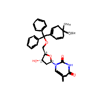 COC1(OC)C=CC(C(OC[C@H]2O[C@@H](n3cc(C)c(=O)[nH]c3=O)C[C@@H]2O)(c2ccccc2)c2ccccc2)=CC1